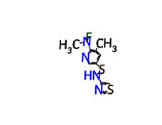 Cc1cc(SNc2cscn2)cnc1N(C)F